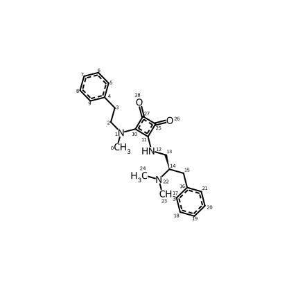 CN(CCc1ccccc1)c1c(NC[C@@H](Cc2ccccc2)N(C)C)c(=O)c1=O